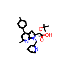 Cc1ccc(-c2cc(C)nc3c2cc([C@H](OC(C)(C)C)C(=O)O)n3Cc2ccccn2)cc1